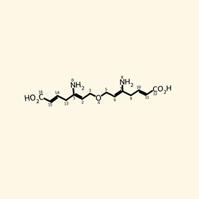 NC(=CCOCC=C(N)CC=CC(=O)O)CC=CC(=O)O